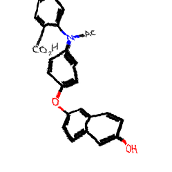 CC(=O)N(c1ccc(Oc2ccc3cc(O)ccc3c2)cc1)c1ccccc1C(=O)O